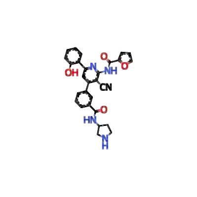 N#Cc1c(-c2cccc(C(=O)NC3CCNC3)c2)cc(-c2ccccc2O)nc1NC(=O)c1ccco1